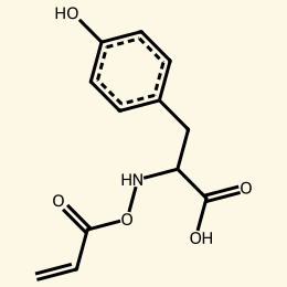 C=CC(=O)ONC(Cc1ccc(O)cc1)C(=O)O